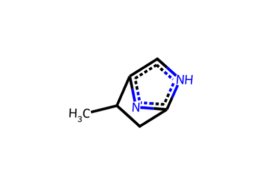 CC1Cc2nc1c[nH]2